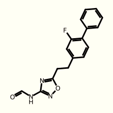 O=CNc1noc(CCc2ccc(-c3ccccc3)c(F)c2)n1